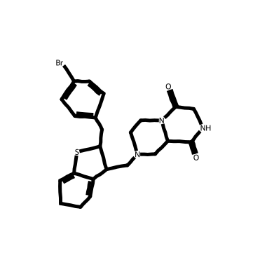 O=C1NCC(=O)N2CCN(CC3C4=CCCC=C4SC3Cc3ccc(Br)cc3)CC12